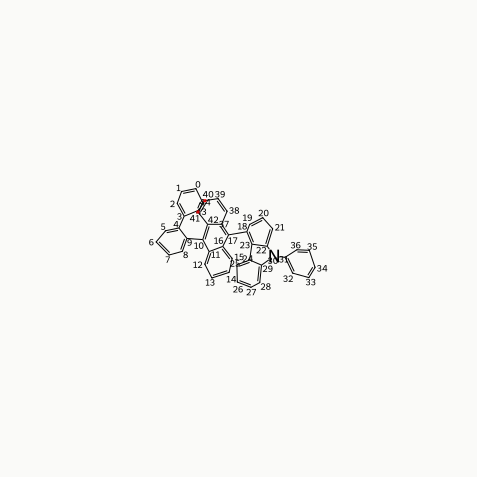 c1ccc(-c2ccccc2-c2c3ccccc3c(-c3cccc4c3c3ccccc3n4-c3ccccc3)c3ccccc23)cc1